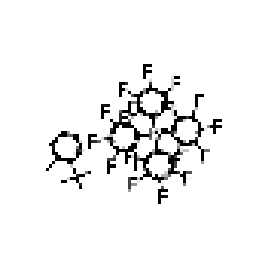 Cc1ccccc1C(C)(C)I.Fc1c(F)c(F)c([B-](c2c(F)c(F)c(F)c(F)c2F)(c2c(F)c(F)c(F)c(F)c2F)c2c(F)c(F)c(F)c(F)c2F)c(F)c1F